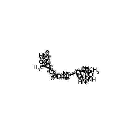 Cc1ccc(N[C@@H]2CNCC2(F)F)cc1C(=O)N[C@H](C)c1ccc(C#CC2CCN(CC3(C#N)CCN(C(=O)C4CCN(c5ccc6c(c5)n(C)c(=O)n6C5CCC(=O)NC5=O)CC4)CC3)CC2)c2ccccc12